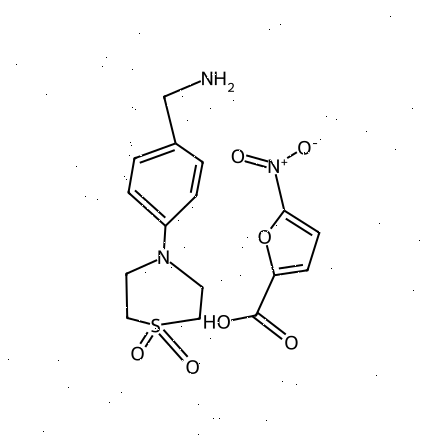 NCc1ccc(N2CCS(=O)(=O)CC2)cc1.O=C(O)c1ccc([N+](=O)[O-])o1